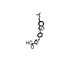 CC(C)CCc1ccc2oc(-c3ccc(CN4CC(C(=O)O)C4)cc3)cc2c1